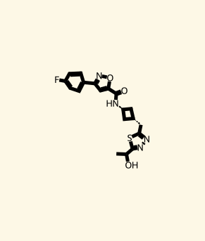 CC(O)c1nnc(C[C@H]2C[C@@H](NC(=O)c3cc(-c4ccc(F)cc4)no3)C2)s1